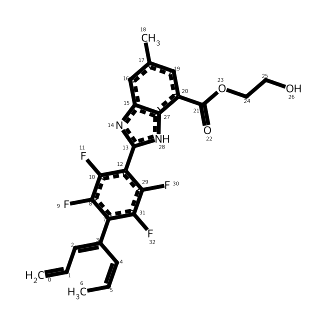 C=C/C=C(\C=C/C)c1c(F)c(F)c(-c2nc3cc(C)cc(C(=O)OCCO)c3[nH]2)c(F)c1F